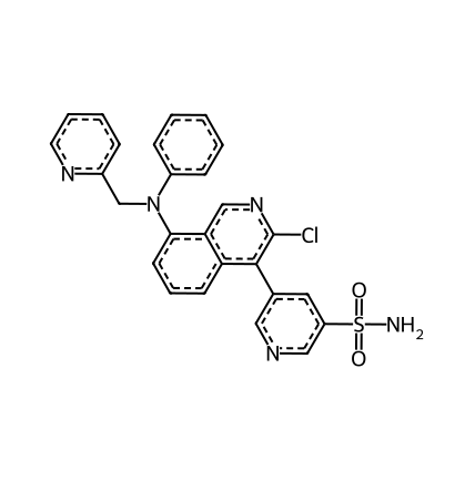 NS(=O)(=O)c1cncc(-c2c(Cl)ncc3c(N(Cc4ccccn4)c4ccccc4)cccc23)c1